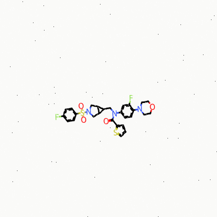 O=C(c1cccs1)N(CC1C2CN(S(=O)(=O)c3ccc(F)cc3)CC12)c1ccc(N2CCOCC2)c(F)c1